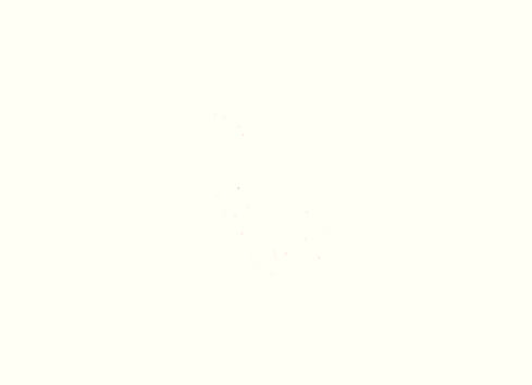 COc1cc(CCCS(=O)(=O)[O-])ccc1OC(Cc1cccc(OC)c1O)CS(=O)(=O)[O-].[Ca+2]